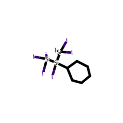 I[Si](I)(I)[Si](I)(C1CCCCC1)[Si](I)(I)I